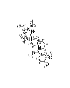 CCN=C(c1ccc(OC)c(OC)c1)N1CCCc2cc(C3=NN(NC)C(C=O)SC3(NC)NC)ccc21